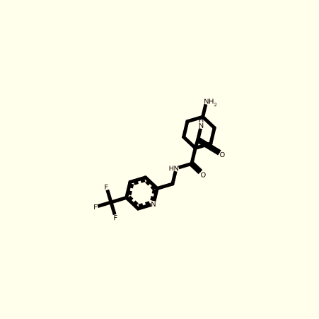 NC12CCC(C(=O)NCc3ccc(C(F)(F)F)cn3)(CC1)C(=O)N2